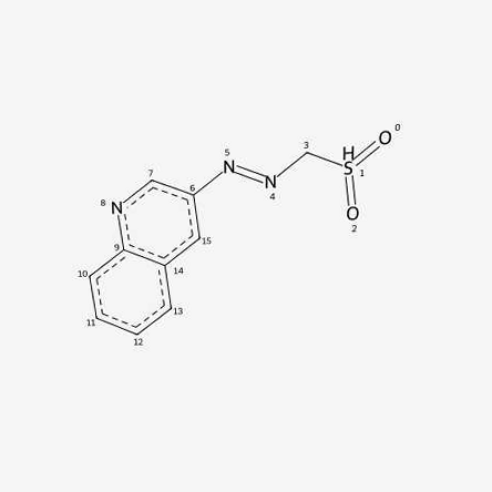 O=[SH](=O)CN=Nc1cnc2ccccc2c1